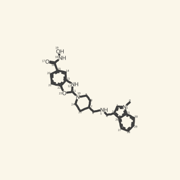 Cn1cc(CNCC2CCN(C3Nc4cc(C(=O)NO)ccc4O3)CC2)c2ccccc21